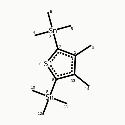 Cc1[c]([Sn]([CH3])([CH3])[CH3])s[c]([Sn]([CH3])([CH3])[CH3])c1C